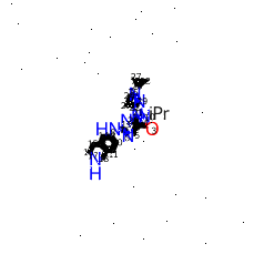 CC(C)n1c(=O)c2cnc(Nc3ccc4c(c3)CCNC4)nc2n1-c1ccn(C2CC2)n1